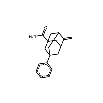 C=C1C2CC3(C(N)=O)CC1CC(c1ccccc1)(C2)C3